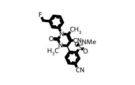 CNS(=O)(=O)c1cc(C#N)ccc1[C@@H]1C(C#N)=C(C)N(c2cccc(CF)c2)C(=O)N1C